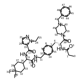 CCC(=O)N[C@H](Cc1ccc(CNC(=O)C(NC(=O)c2ccnn2CC)C2CCC(F)(F)CC2)cc1)C(=O)N1CCN(Cc2ccccc2)CC1